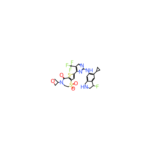 O=C1c2sc(-c3nc(Nc4cc5c(cc4C4CC4)C(F)CNC5)ncc3C(F)(F)F)cc2S(=O)(=O)CCN1C1COC1